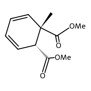 COC(=O)[C@@H]1C=CC=C[C@]1(C)C(=O)OC